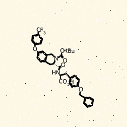 CC(C)(C)OC(=O)N1Cc2cc(Oc3ccc(C(F)(F)F)cc3)ccc2C[C@H]1C(=O)N[C@@H](Cc1ccc(OCc2ccccc2)cc1)C(=O)O